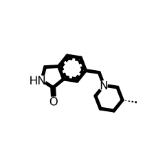 C[C@@H]1CCCN(Cc2ccc3c(c2)C(=O)NC3)C1